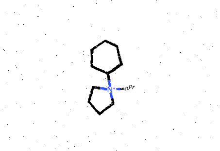 CCC[N+]1(C2CCCCC2)CCCC1